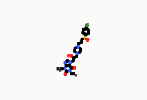 Cn1c(=O)c2c(ncn2CC(O)CN2CCN(CCC[S+]([O-])c3ccc(Cl)cc3)CC2)n(C)c1=O